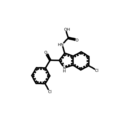 O=C(O)Nc1c(C(=O)c2cccc(Cl)c2)[nH]c2cc(Cl)ccc12